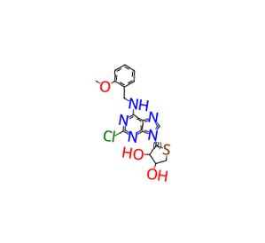 COc1ccccc1CNc1nc(Cl)nc2c1ncn2[C@@H]1SCC(O)C1O